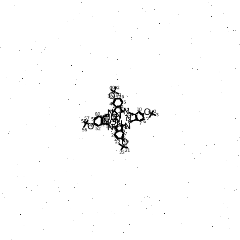 CC(C)(C)Oc1ccc2c(c1)C1=NC/2=N\c2c3cc(OC(C)(C)C)ccc3c3n2[Si](O)(O)n2/c(c4ccc(OC(C)(C)C)cc4/c2=N/C2=NC(=N\3)/c3cc(OC(C)(C)C)ccc32)=N\1